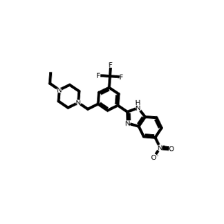 CCN1CCN(Cc2cc(-c3nc4cc([N+](=O)[O-])ccc4[nH]3)cc(C(F)(F)F)c2)CC1